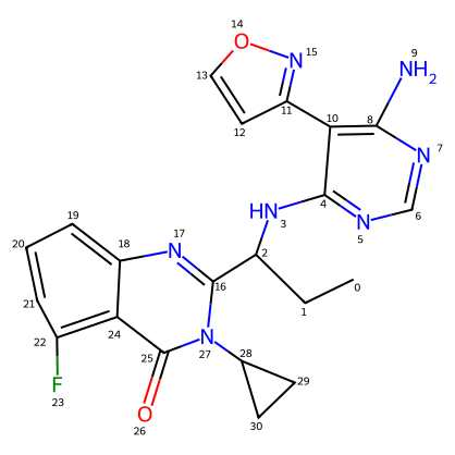 CCC(Nc1ncnc(N)c1-c1ccon1)c1nc2cccc(F)c2c(=O)n1C1CC1